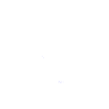 C1=CN(C2CCNCC2)C2=Cc3ccccc3CCC2=C1